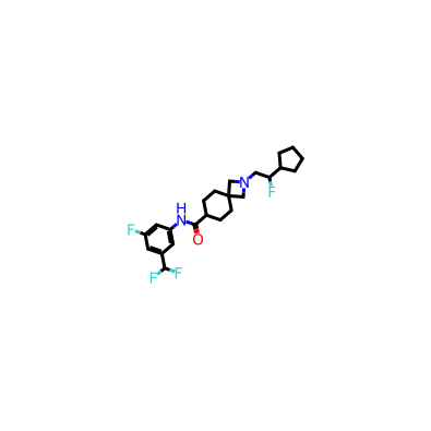 O=C(Nc1cc(F)cc(C(F)F)c1)C1CCC2(CC1)CN(CC(F)C1CCCC1)C2